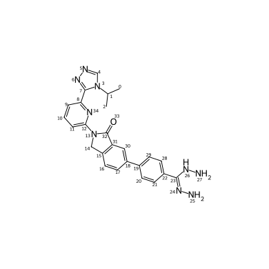 CC(C)n1cnnc1-c1cccc(N2Cc3ccc(-c4ccc(/C(=N/N)NN)cc4)cc3C2=O)n1